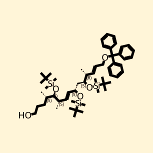 C[C@H](C=CCOC(c1ccccc1)(c1ccccc1)c1ccccc1)[C@H](C[C@@H](C=C[C@H](C)[C@H](O[Si](C)(C)C(C)(C)C)[C@@H](C)CCCO)O[Si](C)(C)C(C)(C)C)O[Si](C)(C)C(C)(C)C